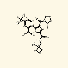 C[C@H]1CCCN1C(=O)c1nc(C(=O)NCC2(O)CCC2)sc1-c1ccc(C(C)(C(F)(F)F)C(F)(F)F)cc1C(F)F